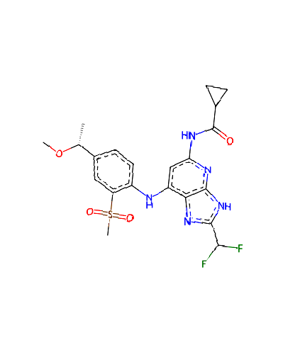 CO[C@H](C)c1ccc(Nc2cc(NC(=O)C3CC3)nc3[nH]c(C(F)F)nc23)c(S(C)(=O)=O)c1